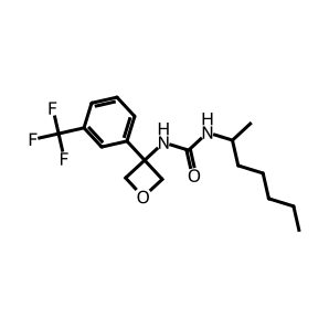 CCCCCC(C)NC(=O)NC1(c2cccc(C(F)(F)F)c2)COC1